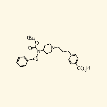 CC(C)(C)OC(=O)N(C1CCN(CCCc2ccc(C(=O)O)cc2)CC1)C1CC1c1ccccc1